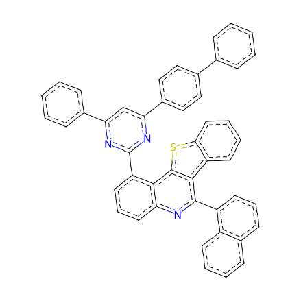 c1ccc(-c2ccc(-c3cc(-c4ccccc4)nc(-c4cccc5nc(-c6cccc7ccccc67)c6c7ccccc7sc6c45)n3)cc2)cc1